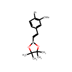 COc1cc(/C=C/B2OC(C)(C)C(C)(C)O2)ccc1C(C)C